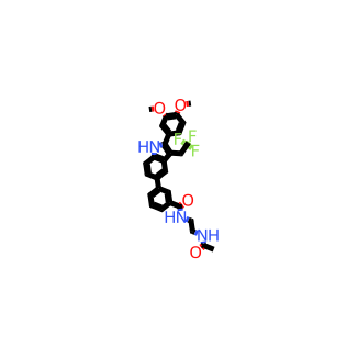 COc1ccc(-c2[nH]c3ccc(-c4cccc(C(=O)NCCNC(C)=O)c4)cc3c2CC(F)(F)F)cc1OC